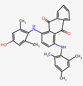 Cc1cc(C)c(Nc2ccc(Nc3c(C)cc(O)cc3C)c3c2C(=O)c2ccccc2C3=O)c(C)c1